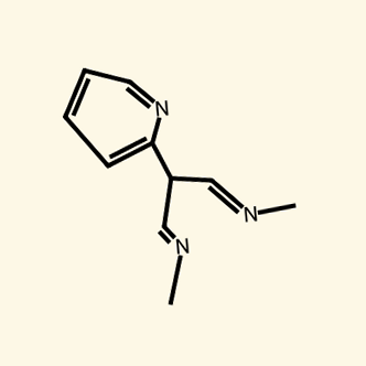 C/N=C/C(/C=N/C)c1ccccn1